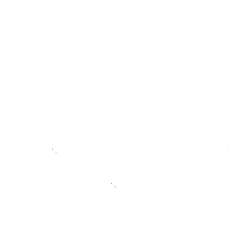 CC1(C)c2cccc3cc(-c4ccc(N(c5ccccc5)c5ccc(N(c6ccccc6)c6ccc(-c7cc8cccc9c8c8c(cccc78)C9(C)C)cc6)cc5)cc4)c4cccc1c4c23